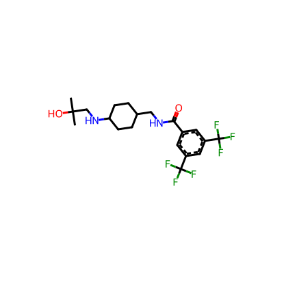 CC(C)(O)CNC1CCC(CNC(=O)c2cc(C(F)(F)F)cc(C(F)(F)F)c2)CC1